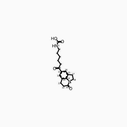 O=C(O)NCCCCCC(=O)c1cc2c3c(c1)CCN3C(=O)CC2